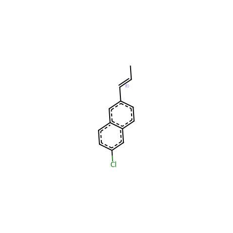 C/C=C/c1ccc2cc(Cl)ccc2c1